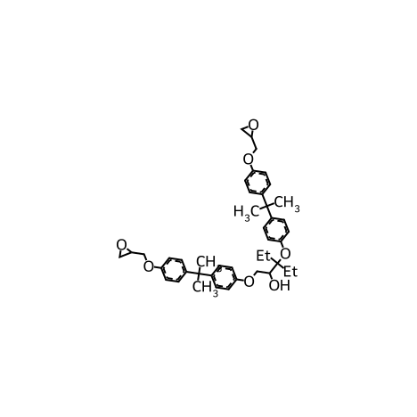 CCC(CC)(Oc1ccc(C(C)(C)c2ccc(OCC3CO3)cc2)cc1)C(O)COc1ccc(C(C)(C)c2ccc(OCC3CO3)cc2)cc1